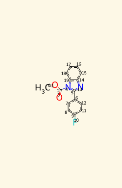 COC(=O)n1c(-c2ccc(F)cc2)nc2ccccc21